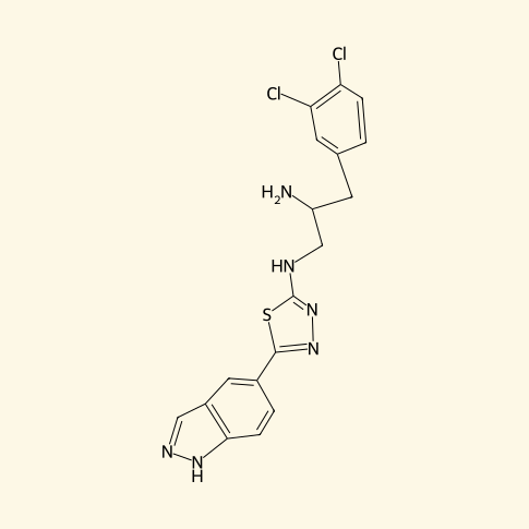 NC(CNc1nnc(-c2ccc3[nH]ncc3c2)s1)Cc1ccc(Cl)c(Cl)c1